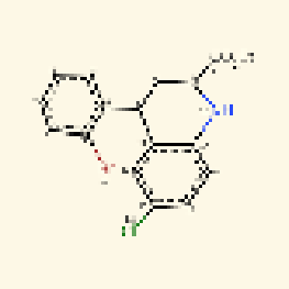 CCOC(=O)C1CC(c2ccccc2Br)c2cc(Cl)ccc2N1